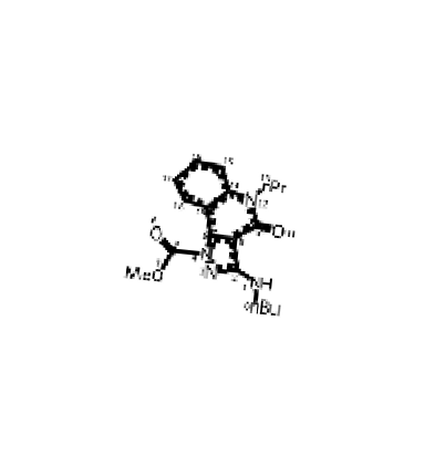 CCCCNc1nn(C(=O)OC)c2c1c(=O)n(CCC)c1ccccc21